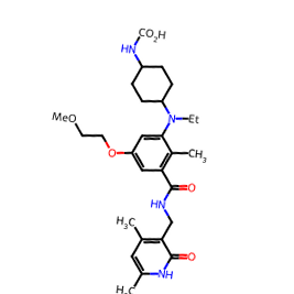 CCN(c1cc(OCCOC)cc(C(=O)NCc2c(C)cc(C)[nH]c2=O)c1C)C1CCC(NC(=O)O)CC1